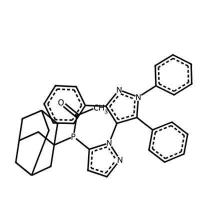 CC(=O)P(c1ccnn1-c1c(-c2ccccc2)nn(-c2ccccc2)c1-c1ccccc1)C12CC3CC(CC(C3)C1)C2